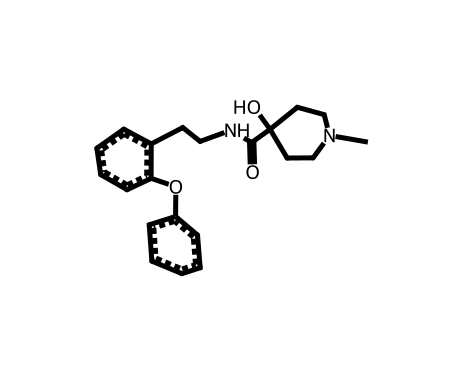 CN1CCC(O)(C(=O)NCCc2ccccc2Oc2ccccc2)CC1